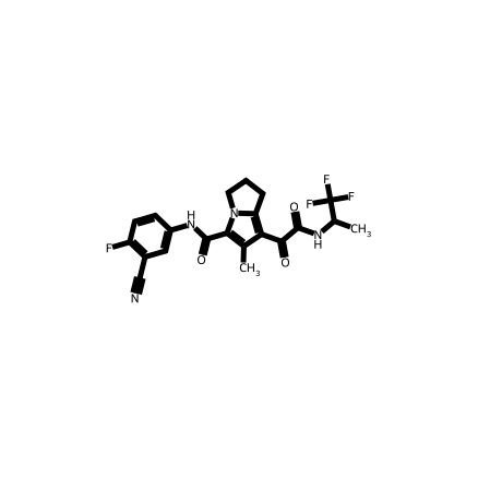 Cc1c(C(=O)C(=O)NC(C)C(F)(F)F)c2n(c1C(=O)Nc1ccc(F)c(C#N)c1)CCC2